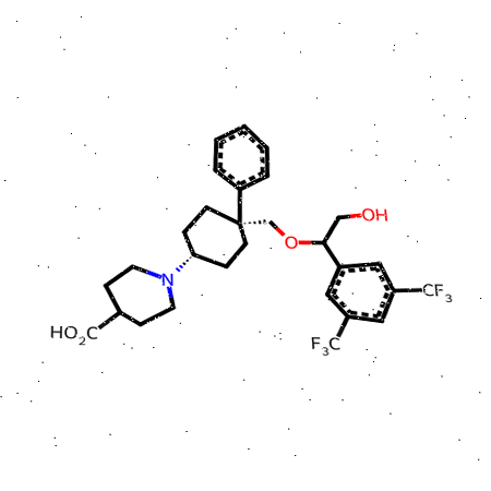 O=C(O)C1CCN([C@H]2CC[C@](COC(CO)c3cc(C(F)(F)F)cc(C(F)(F)F)c3)(c3ccccc3)CC2)CC1